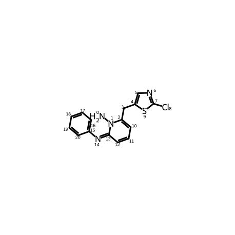 Nn1c(Cc2cnc(Cl)s2)cccc1=Nc1ccccc1